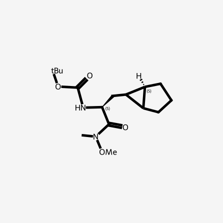 CON(C)C(=O)[C@H](CC1C2CCC[C@@H]21)NC(=O)OC(C)(C)C